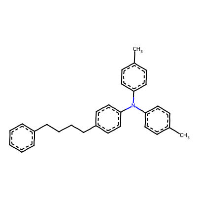 Cc1ccc(N(c2ccc(C)cc2)c2ccc(CCCCc3ccccc3)cc2)cc1